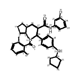 Cc1cccc(F)c1C(=O)N1C2CCCC2CC(C(=O)Nc2cccc(Cl)c2)C1c1ccc(NC2CCCC2)cc1